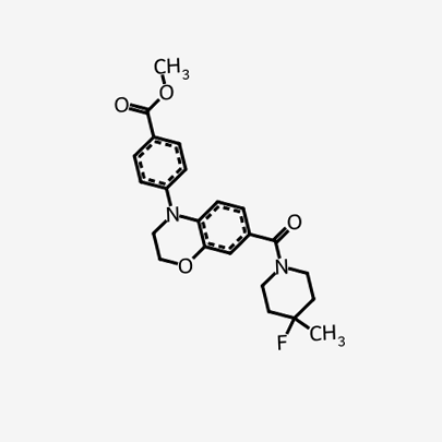 COC(=O)c1ccc(N2CCOc3cc(C(=O)N4CCC(C)(F)CC4)ccc32)cc1